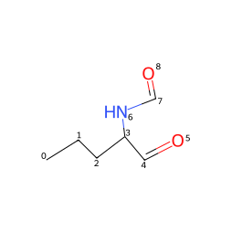 CCCC(C=O)NC=O